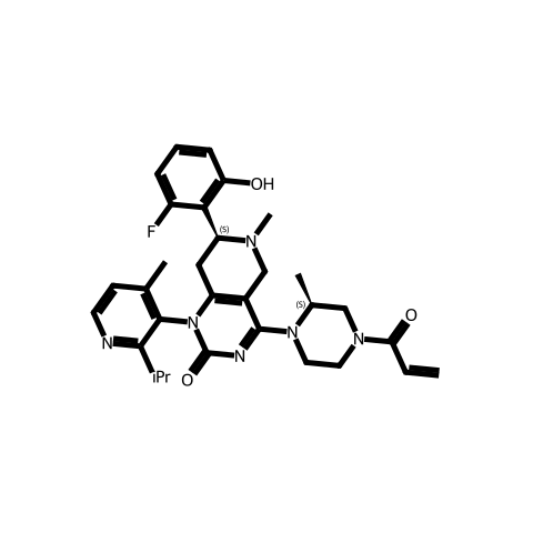 C=CC(=O)N1CCN(c2nc(=O)n(-c3c(C)ccnc3C(C)C)c3c2CN(C)[C@H](c2c(O)cccc2F)C3)[C@@H](C)C1